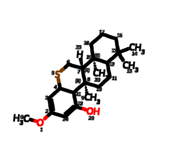 COC1=CC2SC[C@H]3[C@@](C)(CCC4C(C)(C)CCC[C@@]43C)C2C(O)=C1